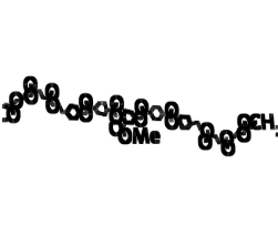 C=CC(=O)OCCOC(=O)CCC(=O)OCCc1ccc(OC(=O)C2CCC(C(=O)Oc3ccc(OC(=O)C4CCC(C(=O)Oc5ccc(CCOC(=O)CCC(=O)OCCOC(=O)C=C)cc5)CC4)c(C(=O)OC)c3)CC2)cc1